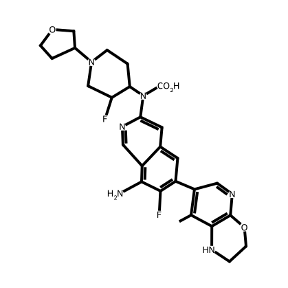 Cc1c(-c2cc3cc(N(C(=O)O)C4CCN(C5CCOC5)CC4F)ncc3c(N)c2F)cnc2c1NCCO2